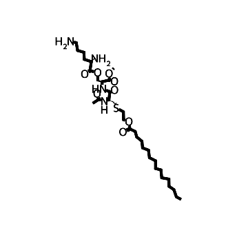 CCCCCCCCCCCCCCCC(=O)OCCSC[C@H](NC(C)=O)C(=O)N[C@@H](COC(=O)[C@@H](N)CCCCN)C(=O)OC